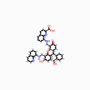 O=C(O)c1ccc2cccc(NCc3c4oc5c(CNc6cccc7cccnc67)c(O)ccc5c(-c5ccccc5C(=O)O)c-4ccc3=O)c2n1